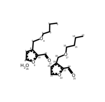 CCCCOCc1ccoc1C=O.CCCCOCc1ccoc1C=O.O